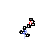 CC1(C)c2ccccc2Oc2c(-c3ccc(-c4cccc(C5=C6C=CC=CC6NC(c6ccccc6)=N5)c4)cc3)cccc21